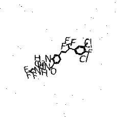 Nc1cc(C=CC(c2cc(Cl)c(F)c(Cl)c2)C(F)(F)F)ccc1C(=O)NCC(=O)NCC(F)(F)F